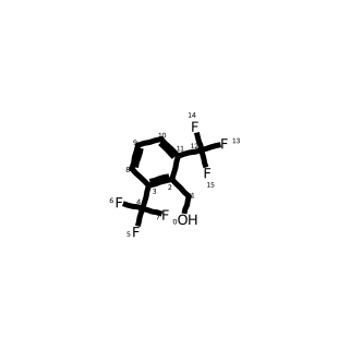 OCc1c(C(F)(F)F)cccc1C(F)(F)F